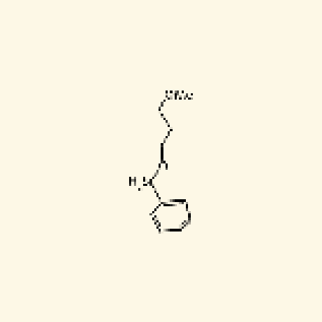 COCCCO[SiH2]c1ccccc1